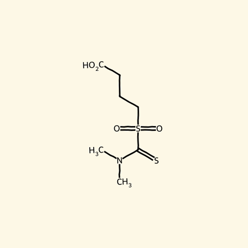 CN(C)C(=S)S(=O)(=O)CCCC(=O)O